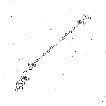 C[C@]12C[C@@H]3O[C@]45C=CC(=O)C=C4[C@@H](F)C[C@@H](C1C[C@H]1O[C@@H](c4ccc(Cc6cccc(NC(=O)CCOCCOCCOCCOCCOCCOCCOCCOCCOCCOCCOCCOCCNC(=O)CCN7C(=O)C=CC7=O)c6)cc4)O[C@]12C(=O)CO)C35